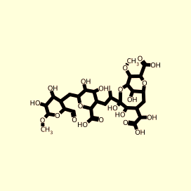 COC1OC(C=O)C(CC2OC(C(=O)O)C(CC(I)C3(O)OC4C(O)C(CC(C(O)C(=O)O)C3O)OC(C(=O)O)C4OC)C(O)C2O)C(O)C1O